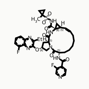 CCc1nc2cccc(F)c2nc1O[C@@H]1C[C@H]2C(=O)N[C@]3(C(=O)NS(=O)(=O)C4(C)CC4)C[C@H]3C=CCCCCC[C@H](NC(=O)c3ccncc3F)C(=O)N2C1